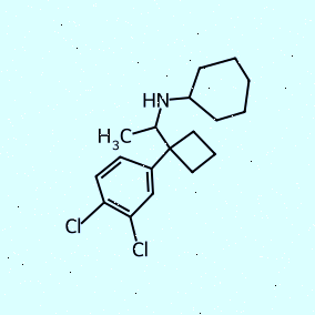 CC(NC1CCCCC1)C1(c2ccc(Cl)c(Cl)c2)CCC1